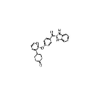 O=C1CCC(c2cccnc2Oc2ccc(C(=O)c3nc4ccccc4[nH]3)cc2)CC1